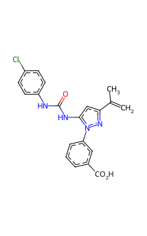 C=C(C)c1cc(NC(=O)Nc2ccc(Cl)cc2)n(-c2cccc(C(=O)O)c2)n1